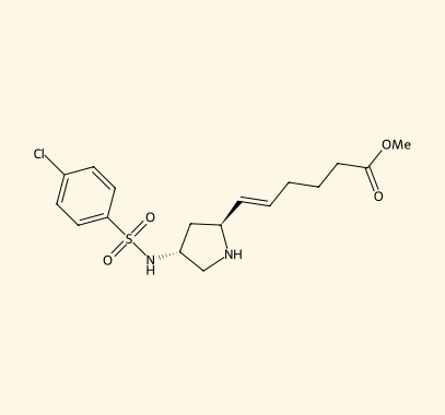 COC(=O)CCCC=C[C@@H]1C[C@@H](NS(=O)(=O)c2ccc(Cl)cc2)CN1